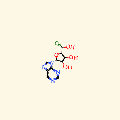 OC(Cl)[C@H]1O[C@@H](n2cnc3cncnc32)[C@H](O)[C@@H]1O